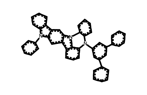 c1ccc(-c2cc(-c3ccccc3)cc(N3c4ccccc4-n4c5cc6c7ccccc7n(-c7ccccc7)c6cc5c5cccc3c54)c2)cc1